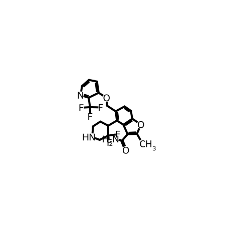 Cc1oc2ccc(COc3cccnc3C(F)(F)F)c(C3CCNCC3(F)F)c2c1C(N)=O